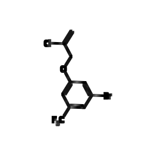 C=C(Cl)COc1cc(Br)cc(C(F)(F)F)c1